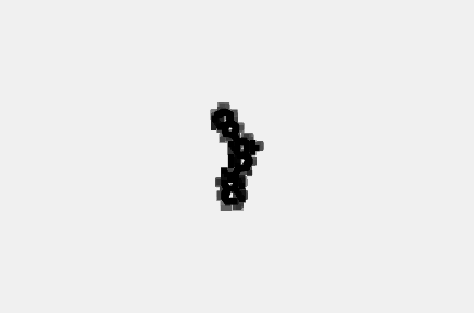 C=Nc1ccc(-c2ncc3cccnc3n2)nc1/N=C(\C)C1Cc2cccnc2C1